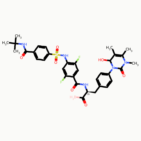 BC(=O)[C@H](Cc1ccc(N2C(=O)N(C)C(C)=C(C)C2O)cc1)NC(=O)c1cc(F)c(NS(=O)(=O)c2ccc(C(=O)NC(C)(C)C)cc2)cc1F